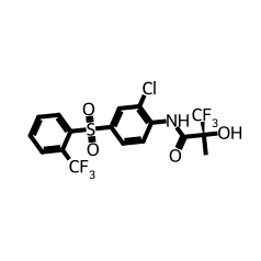 C[C@@](O)(C(=O)Nc1ccc(S(=O)(=O)c2ccccc2C(F)(F)F)cc1Cl)C(F)(F)F